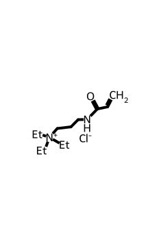 C=CC(=O)NCCC[N+](CC)(CC)CC.[Cl-]